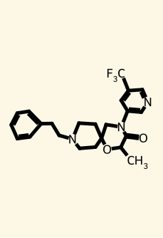 CC1OC2(CCN(CCc3ccccc3)CC2)CN(c2cncc(C(F)(F)F)c2)C1=O